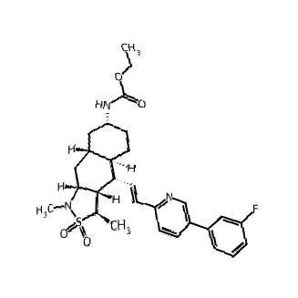 CCOC(=O)N[C@@H]1CC[C@@H]2[C@@H](C1)C[C@@H]1[C@H]([C@H]2/C=C/c2ccc(-c3cccc(F)c3)cn2)[C@@H](C)S(=O)(=O)N1C